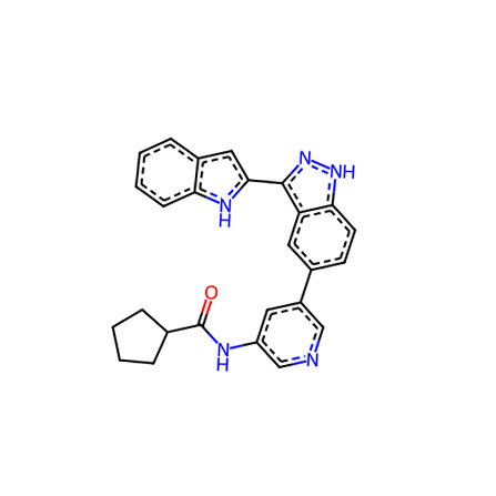 O=C(Nc1cncc(-c2ccc3[nH]nc(-c4cc5ccccc5[nH]4)c3c2)c1)C1CCCC1